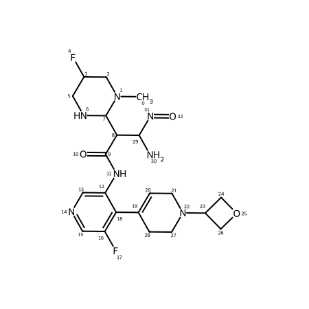 CN1CC(F)CNC1C(C(=O)Nc1cncc(F)c1C1=CCN(C2COC2)CC1)C(N)N=O